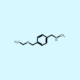 CCOCc1ccc(CNC)cc1